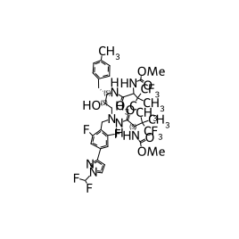 COC(=O)NC(C(=O)N[C@@H](Cc1ccc(C)cc1)[C@@H](O)CN(Cc1c(F)cc(-c2ccn(C(F)F)n2)cc1F)NC(=O)[C@@H](NC(=O)OC)C(C)(C)C(F)(F)F)C(C)(C)C(F)(F)F